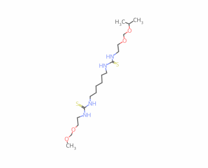 COCOCCNC(=S)NCCCCCCNC(=S)NCCOCOC(C)C